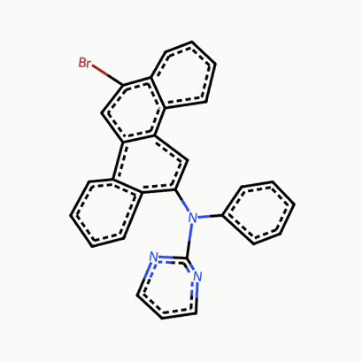 Brc1cc2c3ccccc3c(N(c3ccccc3)c3ncccn3)cc2c2ccccc12